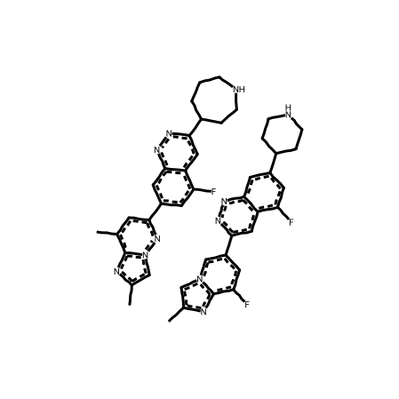 Cc1cn2cc(-c3cc4c(F)cc(C5CCNCC5)cc4nn3)cc(F)c2n1.Cc1cn2nc(-c3cc(F)c4cc(C5CCCNCC5)nnc4c3)cc(C)c2n1